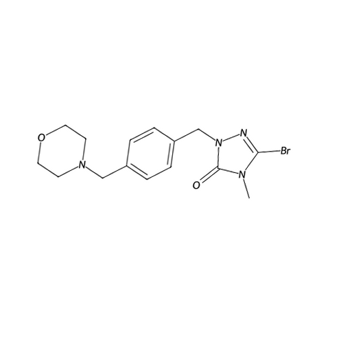 Cn1c(Br)nn(Cc2ccc(CN3CCOCC3)cc2)c1=O